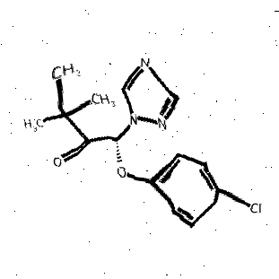 CC(C)(C)C(=O)[C@@H](Oc1ccc(Cl)cc1)n1cncn1